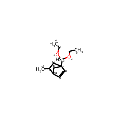 CCO[SiH](OCC)C12C=CC(C1)C(C)C2